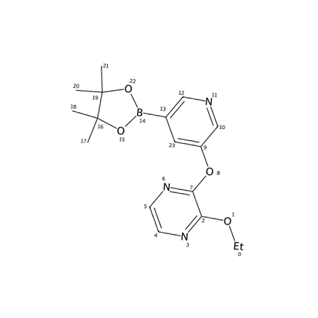 CCOc1nccnc1Oc1cncc(B2OC(C)(C)C(C)(C)O2)c1